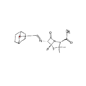 CC1(C)S[C@@H]2[C@H](N=CN3CC4CCC(CC4)C3)C(=O)N2[C@H]1C(=O)O